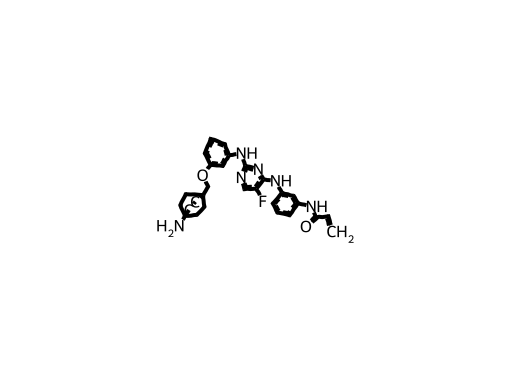 C=CC(=O)Nc1cccc(Nc2nc(Nc3cccc(OCC45CCC(N)(CC4)CC5)c3)ncc2F)c1